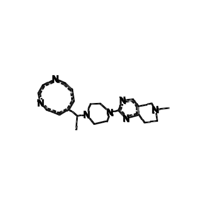 CC(c1cccnccncc1)N1CCN(c2ncc3c(n2)CCN(C)C3)CC1